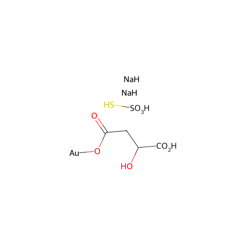 O=C(CC(O)C(=O)O)[O][Au].O=S(=O)(O)S.[NaH].[NaH]